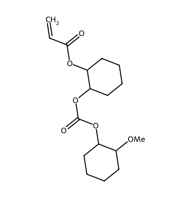 C=CC(=O)OC1CCCCC1OC(=O)OC1CCCCC1OC